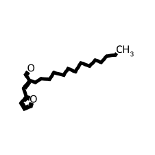 CCCCCCCCCCCCCC/C(C=O)=C\c1ccco1